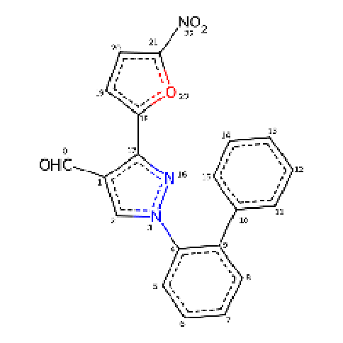 O=Cc1cn(-c2ccccc2-c2ccccc2)nc1-c1ccc([N+](=O)[O-])o1